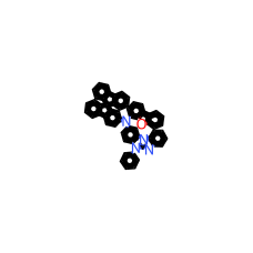 c1ccc(-n2c3ccc(N(c4ccc5c(c4)C4(c6ccccc6-c6ccccc64)c4ccccc4-5)c4cccc5c4oc4ccccc45)cc3n3c4ccccc4nc23)cc1